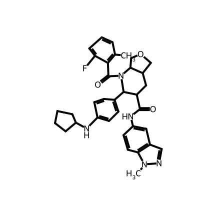 Cc1cccc(F)c1C(=O)N1C2COCC2CC(C(=O)Nc2ccc3c(cnn3C)c2)C1c1ccc(NC2CCCC2)cc1